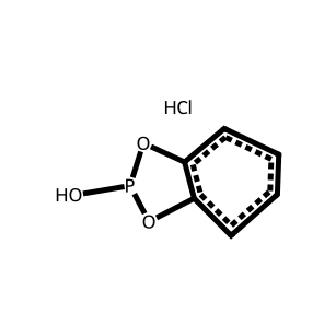 Cl.OP1Oc2ccccc2O1